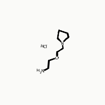 Cl.NCCOCCN1CCCC1